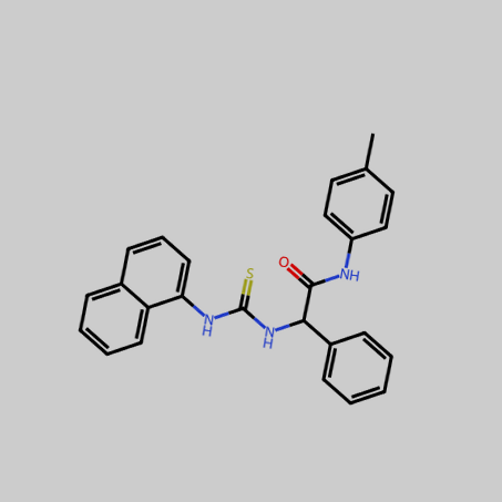 Cc1ccc(NC(=O)C(NC(=S)Nc2cccc3ccccc23)c2ccccc2)cc1